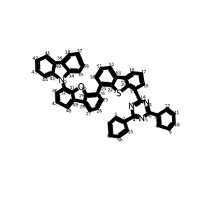 c1ccc(-c2nc(-c3ccccc3)nc(-c3cccc4c3sc3c(-c5cccc6c5oc5c(-n7c8ccccc8c8ccccc87)cccc56)cccc34)n2)cc1